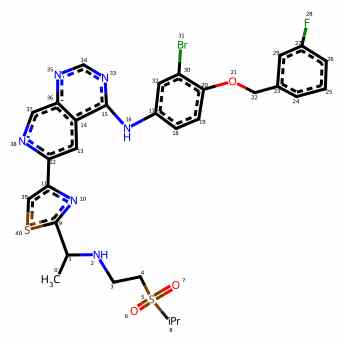 CC(NCCS(=O)(=O)C(C)C)c1nc(-c2cc3c(Nc4ccc(OCc5cccc(F)c5)c(Br)c4)ncnc3cn2)cs1